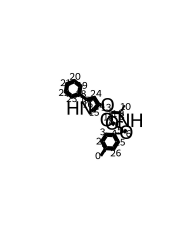 Cc1ccc(S(=O)(=O)N[C@H](C)C(=O)Oc2c[nH]c(-c3ccccc3)c2)cc1